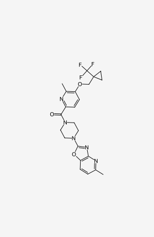 Cc1ccc2oc(N3CCN(C(=O)c4ccc(OCC5(C(F)(F)F)CC5)c(C)n4)CC3)nc2n1